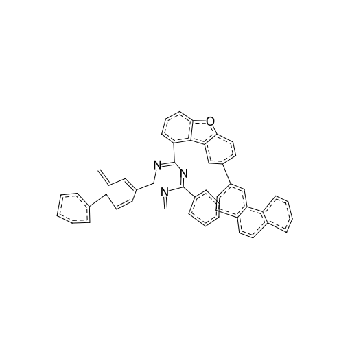 C=C/C=C(\C=C/Cc1ccccc1)C/N=C(\N=C(/N=C)c1ccccc1)c1cccc2oc3ccc(-c4ccc5ccc6ccccc6c5c4)cc3c12